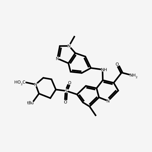 Cc1cc(S(=O)(=O)C2CCN(C(=O)O)C(C(C)(C)C)C2)cc2c(Nc3ccc4ncn(C)c4c3)c(C(N)=O)cnc12